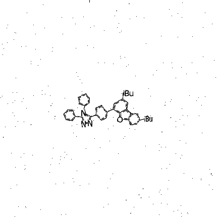 CCC(C)c1ccc2oc3c(-c4ccc(-c5nnc(-c6ccccc6)n5-c5ccccc5)cc4)cc(C(C)CC)cc3c2c1